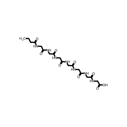 CCCC(=O)NCC(=O)NCC(=O)NCC(=O)NCC(=O)NCC(=O)NCC(=O)NCC(=O)O